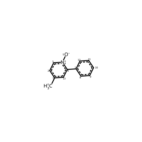 Cc1cc[n+]([O-])c(-c2ccccc2)c1